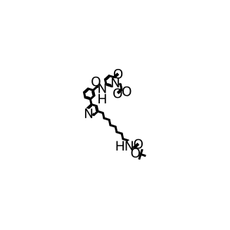 COC(=O)Cn1cc(NC(=O)c2cccc(-c3cncc(CCCCCCCCCNC(=O)OC(C)(C)C)c3)c2)ccc1=O